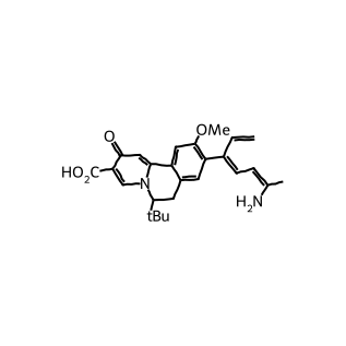 C=C/C(=C\C=C(\C)N)c1cc2c(cc1OC)-c1cc(=O)c(C(=O)O)cn1C(C(C)(C)C)C2